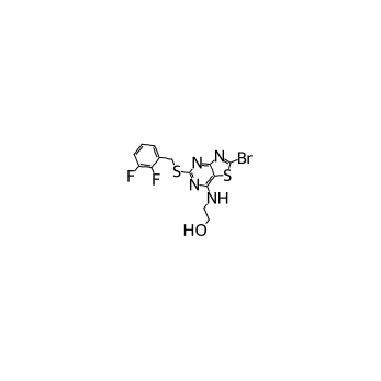 OCCNc1nc(SCc2cccc(F)c2F)nc2nc(Br)sc12